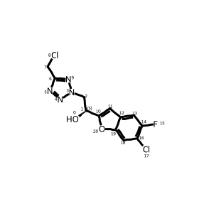 O[C@@H](Cn1nnc(CCl)n1)c1cc2cc(F)c(Cl)cc2o1